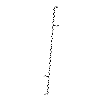 OCCCCCCCC(O)CCCCCCCCCCCCCCCCCCCCCCC(O)CCCCCCCO